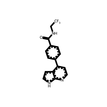 O=C(NCC(F)(F)F)c1ccc(-c2ccnc3[nH]ccc23)cc1